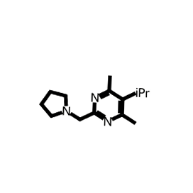 Cc1nc(CN2CCCC2)nc(C)c1C(C)C